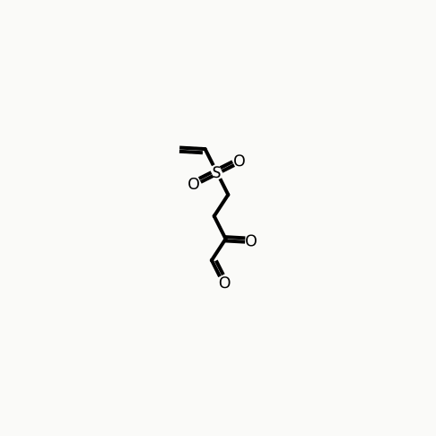 C=CS(=O)(=O)CCC(=O)C=O